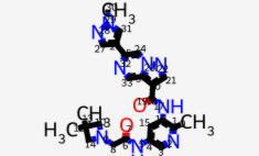 Cc1ncc(NC(=O)CN2CC(C)(C)C2)cc1NC(=O)c1cnn2cc(-c3cnn(C)c3)ncc12